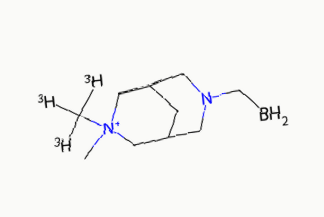 [3H]C([3H])([3H])[N+]1(C)CC2CC(CN(CB)C2)C1